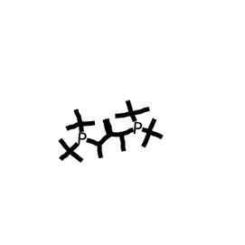 C=C(C(C)P(C(C)(C)C)C(C)(C)C)C(C)P(C(C)(C)C)C(C)(C)C